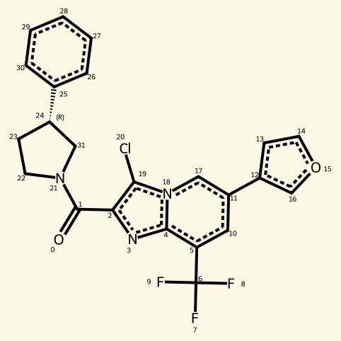 O=C(c1nc2c(C(F)(F)F)cc(-c3ccoc3)cn2c1Cl)N1CC[C@H](c2ccccc2)C1